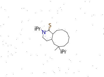 CC(C)N1CCC2CC(C)(C(C)C)CCCCCCC2C1=S